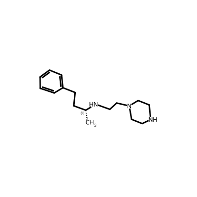 C[C@H](CCc1ccccc1)NCCN1CCNCC1